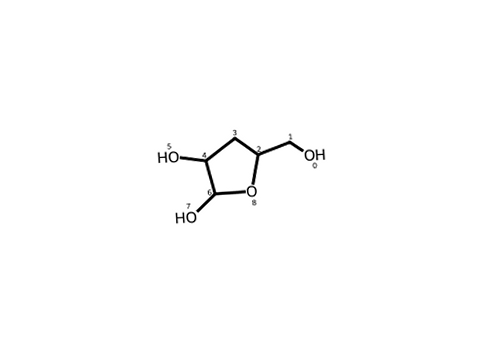 OCC1CC(O)C(O)O1